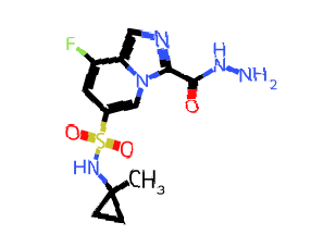 CC1(NS(=O)(=O)c2cc(F)c3cnc(C(=O)NN)n3c2)CC1